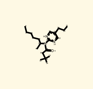 CCCCCC(C)N(C(=O)CC(C)(C)C)c1ncc(CCC)cn1